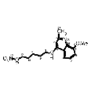 COc1cccc2c(NCCCCCO[N+](=O)[O-])cc(C)nc12